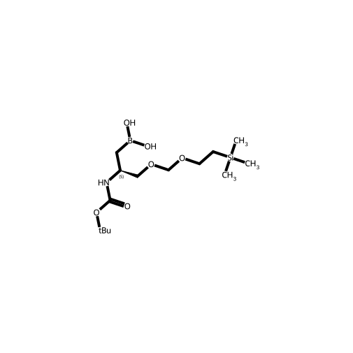 CC(C)(C)OC(=O)N[C@H](COCOCC[Si](C)(C)C)CB(O)O